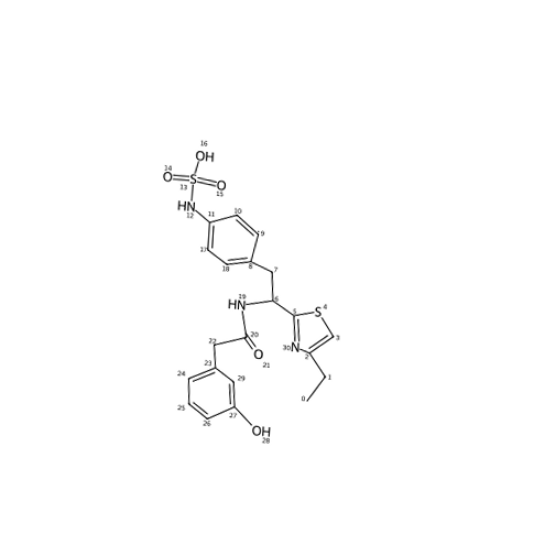 CCc1csc(C(Cc2[c]cc(NS(=O)(=O)O)cc2)NC(=O)Cc2cccc(O)c2)n1